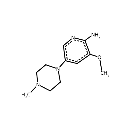 COc1cc(N2CCN(C)CC2)cnc1N